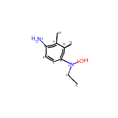 CCN(O)c1ccc(N)c(C)c1C